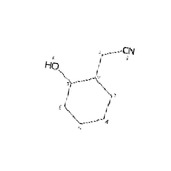 N#CCC1CCCCC1O